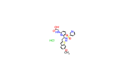 COc1ccc2cc(CC(NS(=O)(=O)c3cccnc3)c3cccc(NCC(=O)O)n3)sc2c1.Cl